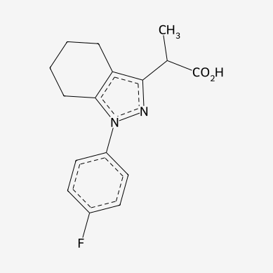 CC(C(=O)O)c1nn(-c2ccc(F)cc2)c2c1CCCC2